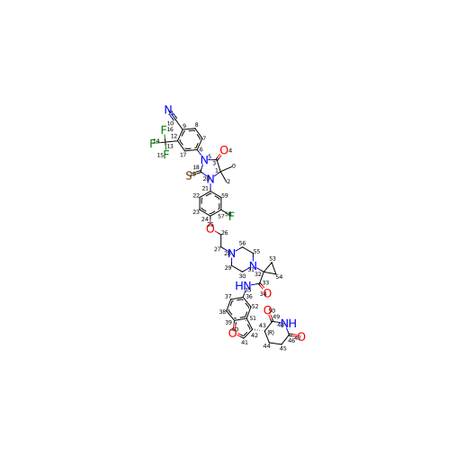 CC1(C)C(=O)N(c2ccc(C#N)c(C(F)(F)F)c2)C(=S)N1c1ccc(OCCN2CCN(C3(C(=O)Nc4ccc5occ([C@H]6CCC(=O)NC6=O)c5c4)CC3)CC2)c(F)c1